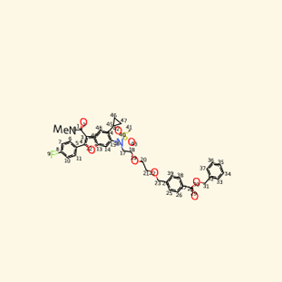 CNC(=O)c1c(-c2ccc(F)cc2)oc2cc(N(CCOCCOCc3ccc(C(=O)OCc4ccccc4)cc3)S(C)(=O)=O)c(C3CC3)cc12